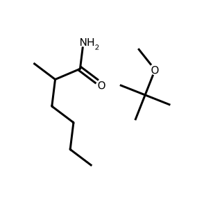 CCCCC(C)C(N)=O.COC(C)(C)C